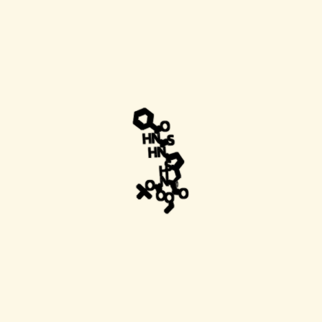 CCOC(=O)[C@H](Cc1ccc(NC(=S)NC(=O)c2ccccc2)s1)NC(=O)OC(C)(C)C